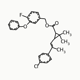 C/C(=C\C1C(C(=O)OCc2ccc(F)c(Oc3ccccc3)c2)C1(C)C)c1ccc(Cl)cc1